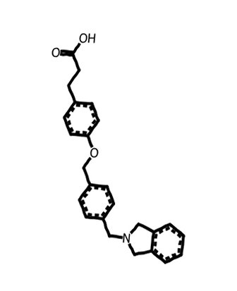 O=C(O)CCc1ccc(OCc2ccc(CN3Cc4ccccc4C3)cc2)cc1